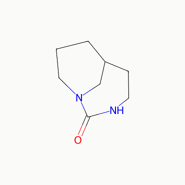 O=C1NCCC2CCCN1C2